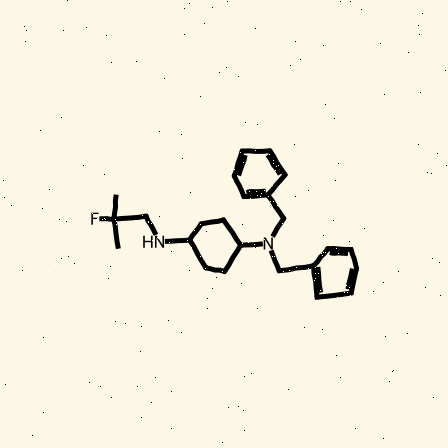 CC(C)(F)CNC1CCC(N(Cc2ccccc2)Cc2ccccc2)CC1